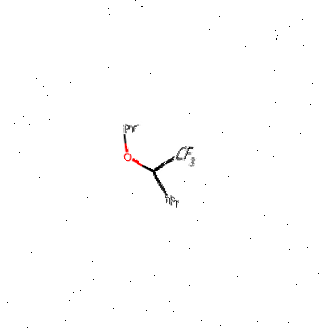 CCCC(OC(C)C)C(F)(F)F